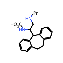 CC(C)NCC(NC(=O)O)C1c2ccccc2CCc2ccccc21